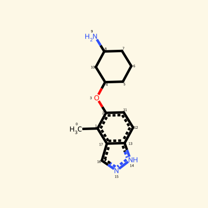 Cc1c(OC2CCCC(N)C2)ccc2[nH]ncc12